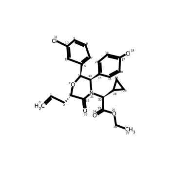 C=CC[C@@H]1O[C@@H](c2cccc(Cl)c2)[C@@H](c2ccc(Cl)cc2)N([C@H](C(=O)OCC)C2CC2)C1=O